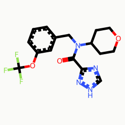 O=C(c1nc[nH]n1)N(Cc1cccc(OC(F)(F)F)c1)C1CCOCC1